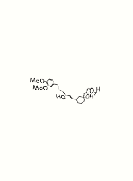 COc1ccc(CCCC(O)C=CC2CCCC(O)(CC(=O)O)C2)cc1OC